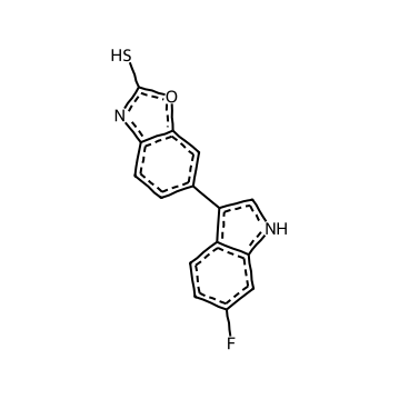 Fc1ccc2c(-c3ccc4nc(S)oc4c3)c[nH]c2c1